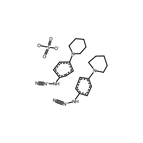 N#[N+]Nc1ccc(N2CCCCC2)cc1.N#[N+]Nc1ccc(N2CCCCC2)cc1.O=S(=O)([O-])[O-]